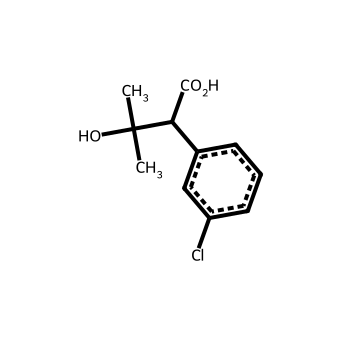 CC(C)(O)C(C(=O)O)c1cccc(Cl)c1